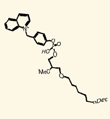 CCCCCCCCCCCCCCCCOCC(COP(=O)(O)Oc1ccc(C[n+]2cccc3ccccc32)cc1)OC